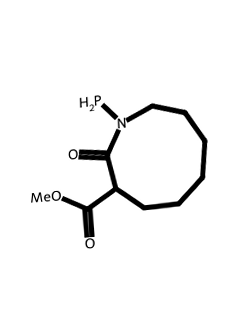 COC(=O)C1CCCCCCN(P)C1=O